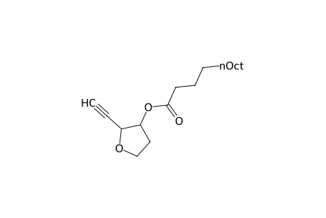 C#CC1OCCC1OC(=O)CCCCCCCCCCC